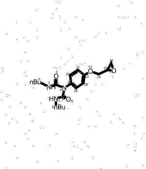 CCCCNC(=O)N(C(=O)NCCCC)c1ccc(OCC2CO2)cc1